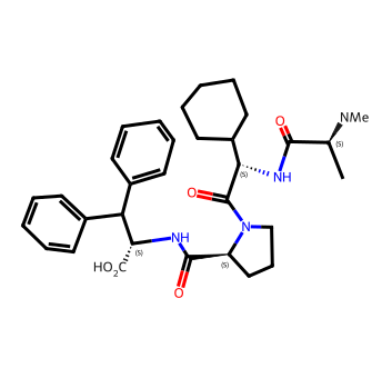 CN[C@@H](C)C(=O)N[C@H](C(=O)N1CCC[C@H]1C(=O)N[C@H](C(=O)O)C(c1ccccc1)c1ccccc1)C1CCCCC1